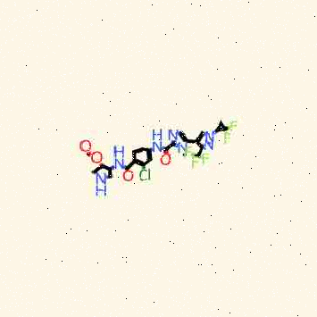 Cn1c(-c2cn(C3CC3(F)F)nc2C(F)(F)F)cnc1C(=O)Nc1ccc(C(=O)NC2CNCC2OC=O)c(Cl)c1